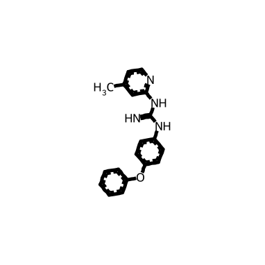 Cc1ccnc(NC(=N)Nc2ccc(Oc3ccccc3)cc2)c1